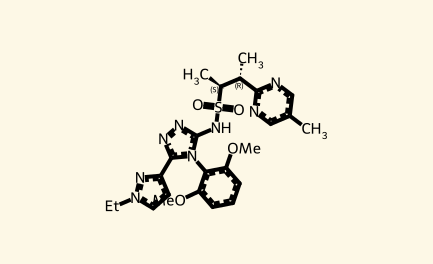 CCn1ccc(-c2nnc(NS(=O)(=O)[C@@H](C)[C@H](C)c3ncc(C)cn3)n2-c2c(OC)cccc2OC)n1